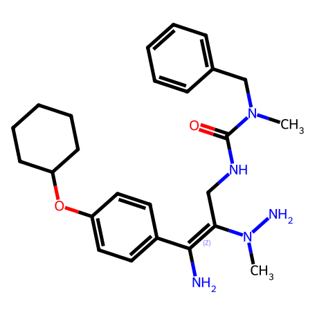 CN(Cc1ccccc1)C(=O)NC/C(=C(/N)c1ccc(OC2CCCCC2)cc1)N(C)N